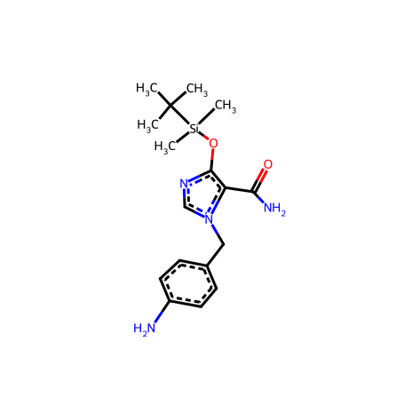 CC(C)(C)[Si](C)(C)Oc1ncn(Cc2ccc(N)cc2)c1C(N)=O